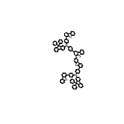 c1ccc(C2(c3ccccc3)c3ccccc3-c3ccc(N(c4ccc(-c5cc(-c6ccc7oc8c(-c9ccc(N(c%10ccc(-c%11cccc%12c%11sc%11ccccc%11%12)cc%10)c%10ccc%11c(c%10)C(c%10ccccc%10)(c%10ccccc%10)c%10ccccc%10-%11)cc9)cccc8c7c6)c6sc7ccccc7c6c5)cc4)c4ccc(-c5cccc6c5oc5ccccc56)cc4)cc32)cc1